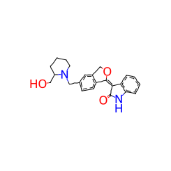 O=C1Nc2ccccc2C1=C1OCc2cc(CN3CCCCC3CO)ccc21